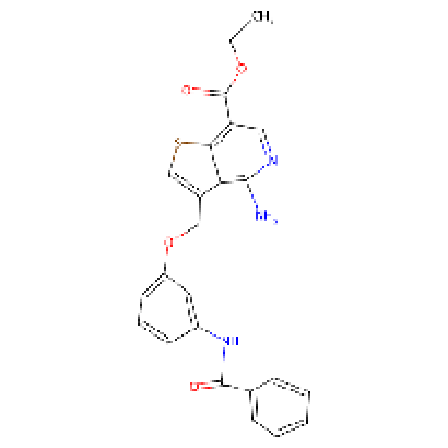 CCOC(=O)c1cnc(N)c2c(COc3cccc(NC(=O)c4ccccc4)c3)csc12